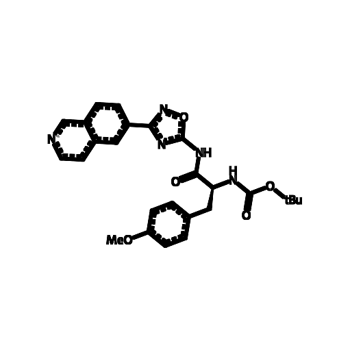 COc1ccc(C[C@H](NC(=O)OC(C)(C)C)C(=O)Nc2nc(-c3ccc4cnccc4c3)no2)cc1